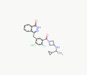 CC(NC1CN(C(=O)c2cc(Cc3n[nH]c(=O)c4ccccc34)ccc2F)C1)C1CC1.Cl